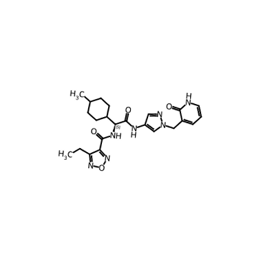 CCc1nonc1C(=O)N[C@H](C(=O)Nc1cnn(Cc2ccc[nH]c2=O)c1)C1CCC(C)CC1